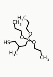 CCCO[Si](CC(C)CS)(OCCC)OCCC